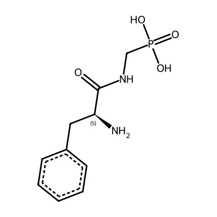 N[C@@H](Cc1ccccc1)C(=O)NCP(=O)(O)O